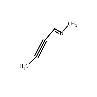 CC#CC=NC